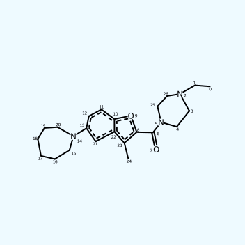 CCN1CCN(C(=O)c2oc3ccc(N4CCCCCC4)cc3c2C)CC1